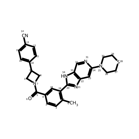 Cc1ccc(C(=O)N2CC(c3ccc(C#N)cc3)C2)cc1-c1nc2cc(N3CCSCC3)ncc2[nH]1